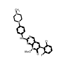 COn1c(=O)c(-c2c(F)cccc2Cl)cc2cnc(Nc3ccc(N4CCN(C)CC4)cc3)nc21